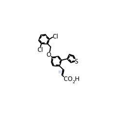 O=C(O)/C=C/c1ccc(OCc2c(Cl)cccc2Cl)cc1-c1ccsc1